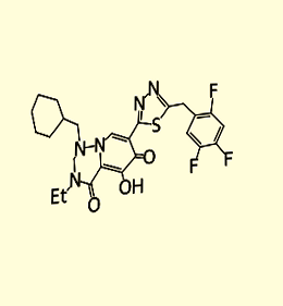 CCN1CN(CC2CCCCC2)n2cc(-c3nnc(Cc4cc(F)c(F)cc4F)s3)c(=O)c(O)c2C1=O